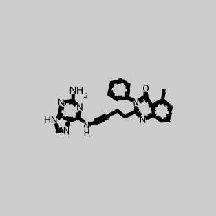 Cc1cccc2nc(CCC#CNc3nc(N)nc4[nH]cnc34)n(-c3ccccc3)c(=O)c12